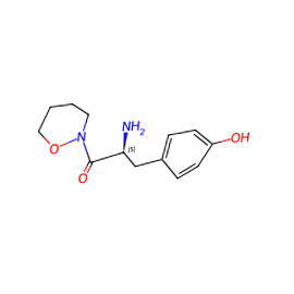 N[C@@H](Cc1ccc(O)cc1)C(=O)N1CCCCO1